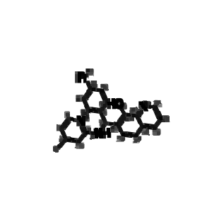 Cc1ccnc(NC(c2ccc(C(C)C)cc2)c2ccc3cccnc3c2O)c1